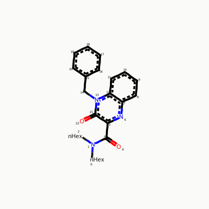 CCCCCCN(CCCCCC)C(=O)c1nc2ccccc2n(Cc2ccccc2)c1=O